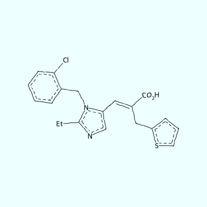 CCc1ncc(/C=C(\Cc2cccs2)C(=O)O)n1Cc1ccccc1Cl